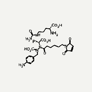 CC(C)[C@@H](C(=O)O)N(C(=O)CCCCCN1C(=O)C=CC1=O)N(Cc1ccc(N)cc1)C(=O)O.NC(=O)NCCC[C@H](N)C(=O)O